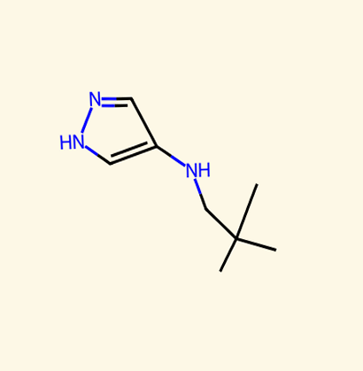 CC(C)(C)CNc1cn[nH]c1